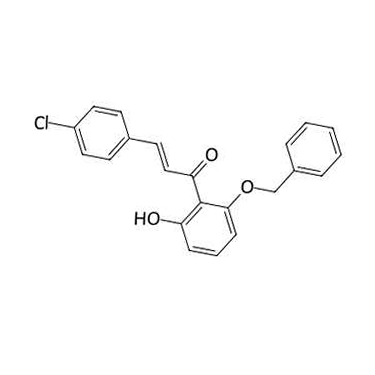 O=C(/C=C/c1ccc(Cl)cc1)c1c(O)cccc1OCc1ccccc1